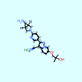 CC(C)(O)COc1ccc2c(C#N)c(-c3ccc(N4C[C@@H]5C(N)[C@@H]5C4)nc3)nn2c1.Cl